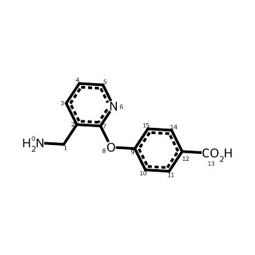 NCc1cccnc1Oc1ccc(C(=O)O)cc1